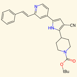 CC(C)(C)OC(=O)N1CCC(c2[nH]c(-c3ccnc(/C=C/c4ccccc4)c3)cc2C#N)CC1